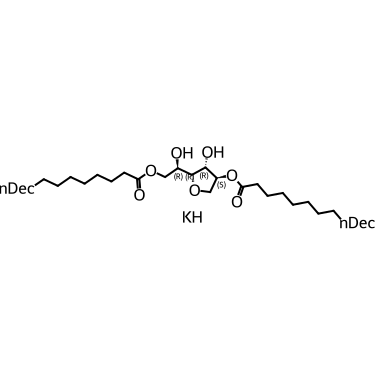 CCCCCCCCCCCCCCCCCC(=O)OC[C@@H](O)[C@H]1OC[C@H](OC(=O)CCCCCCCCCCCCCCCCC)[C@H]1O.[KH]